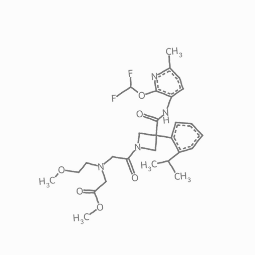 COCCN(CC(=O)OC)CC(=O)N1CC(C(=O)Nc2ccc(C)nc2OC(F)F)(c2ccccc2C(C)C)C1